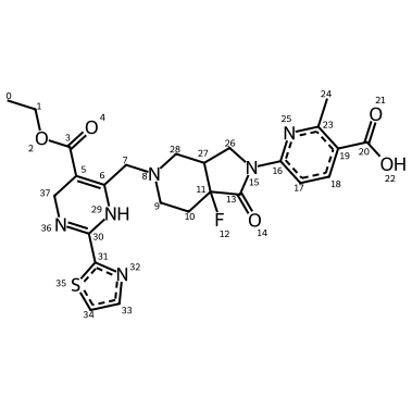 CCOC(=O)C1=C(CN2CCC3(F)C(=O)N(c4ccc(C(=O)O)c(C)n4)CC3C2)NC(c2nccs2)=NC1